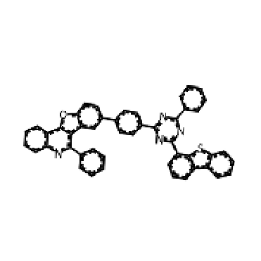 c1ccc(-c2nc(-c3ccc(-c4ccc5oc6c7ccccc7nc(-c7ccccc7)c6c5c4)cc3)nc(-c3cccc4c3sc3ccccc34)n2)cc1